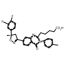 Cc1ccc(-n2c(CCCCC(=O)O)nc3cc(C4=NO[C@](C)(c5ccc(F)c(F)c5)C4)ccc3c2=O)cc1